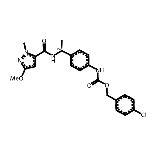 COc1cc(C(=O)N[C@@H](C)c2ccc(NC(=O)OCc3ccc(Cl)cc3)cc2)n(C)n1